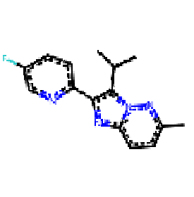 Cc1ccc2nc(-c3ccc(F)cn3)c(C(C)C)n2n1